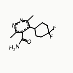 Cc1nnc(C)c(C2CCC(F)(F)CC2)c1C(N)=O